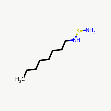 CCCCCCCCNSN